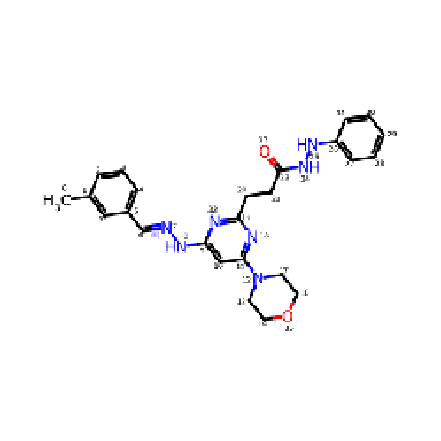 Cc1cccc(/C=N/Nc2cc(N3CCOCC3)nc(CCC(=O)NNc3ccccc3)n2)c1